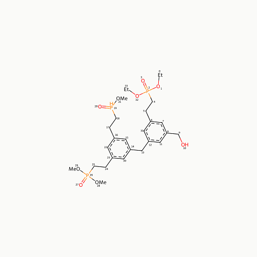 CCOP(=O)(CCc1cc(CO)cc(Cc2cc(CC[PH](=O)OC)cc(CCP(=O)(OC)OC)c2)c1)OCC